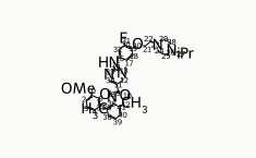 COc1ccccc1ON(C(=O)c1cnc(Nc2ccc(OCCN3CCN(C(C)C)CC3)c(F)c2)nc1)c1c(C)cccc1C